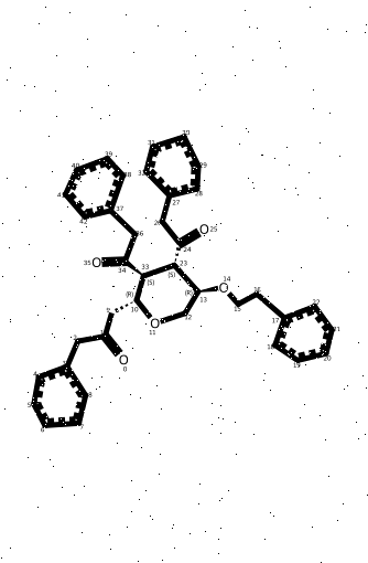 O=C(Cc1ccccc1)C[C@H]1OC[C@H](OCCc2ccccc2)[C@@H](C(=O)Cc2ccccc2)[C@@H]1C(=O)Cc1ccccc1